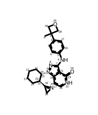 CC1(c2ccc(Nc3nn([C@H]4CCCC[C@@H]4C4=NC4)c4cc[nH]c(=O)c34)cc2)COC1